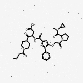 CCOC(=O)N1CCN(C(=O)C(CC(=O)O)NC(=O)c2cc(OCC(=O)N3CCCC3C(=O)N(C)C3CC3)n(-c3ccccc3)n2)CC1